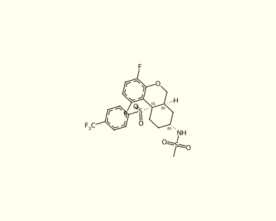 CS(=O)(=O)N[C@@H]1CC[C@@]2(S(=O)(=O)c3ccc(C(F)(F)F)cc3)c3c(F)ccc(F)c3OC[C@H]2C1